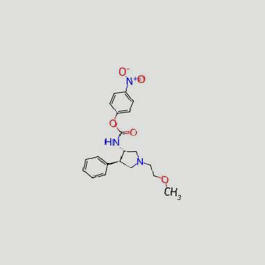 COCCN1C[C@@H](NC(=O)Oc2ccc([N+](=O)[O-])cc2)[C@H](c2ccccc2)C1